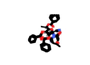 CC(=O)/C=C\N(C(C)=O)[C@]1(C#N)O[C@H]([C@@H](C)OC(=O)c2ccccc2)[C@@H](OC(=O)c2ccccc2)[C@H]1OC(=O)c1ccccc1